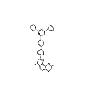 Cc1ccc2ccc3c(C)cc(-c4ccc(-c5ccc(-c6cc(-c7ccncc7)nc(-c7ccccc7)n6)cc5)cc4)nc3c2n1